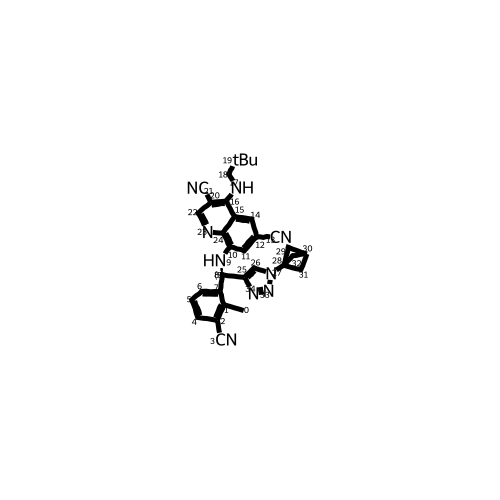 Cc1c(C#N)cccc1[C@H](Nc1cc(C#N)cc2c(NCC(C)(C)C)c(C#N)cnc12)c1cn(C23CC(C2)C3)nn1